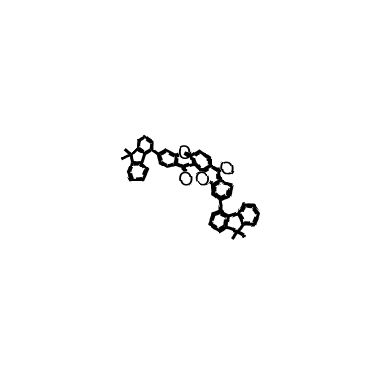 CC1(C)c2ccccc2-c2c(-c3ccc4c(=O)c5ccc6oc7cc(-c8cccc9c8-c8ccccc8C9(C)C)ccc7c(=O)c6c5oc4c3)cccc21